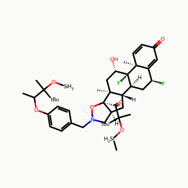 C[SiH2]OC(C)(C(=O)[C@@]12ON(Cc3ccc(OC(C)C(C)(O[SiH3])C(C)(C)C)cc3)C[C@@H]1C[C@H]1[C@@H]3C[C@H](F)C4=CC(=O)C=C[C@]4(C)[C@@]3(F)[C@@H](O)C[C@@]12C)C(C)(C)C